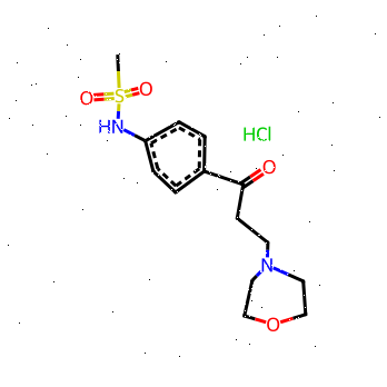 CS(=O)(=O)Nc1ccc(C(=O)CCN2CCOCC2)cc1.Cl